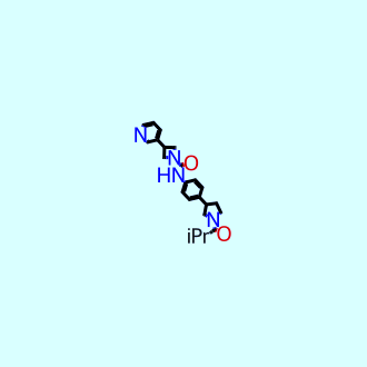 CC(C)C(=O)N1CCC(c2ccc(NC(=O)N3CC(c4cccnc4)C3)cc2)C1